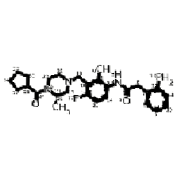 Cc1c(NC(=O)Cc2ccccc2P)ccc(F)c1CN1CCN(C(=O)C2CCCC2)[C@@H](C)C1